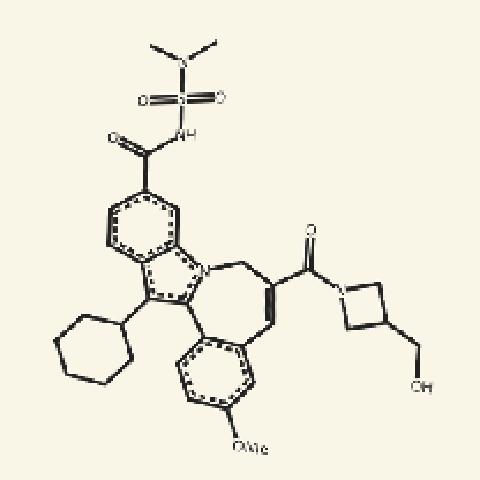 COc1ccc2c(c1)C=C(C(=O)N1CC(CO)C1)Cn1c-2c(C2CCCCC2)c2ccc(C(=O)NS(=O)(=O)N(C)C)cc21